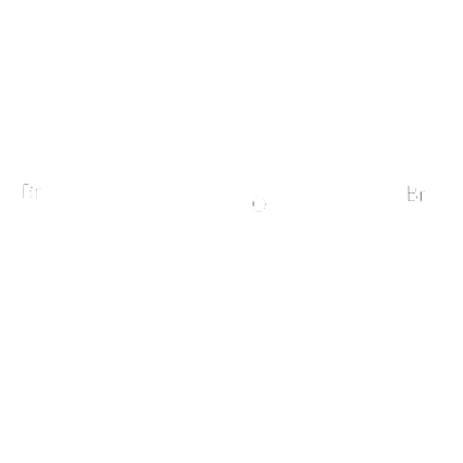 BrCc1ccccc1Oc1ccc(Br)cc1